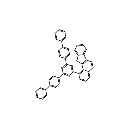 c1ccc(-c2ccc(-c3nc(-c4ccc(-c5ccccc5)cc4)nc(-c4cccc5ccc6c7ccccc7sc6c45)n3)cc2)cc1